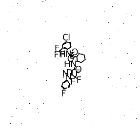 O=C(NC1CCCCC1S(=O)(=O)Nc1ccc(Cl)cc1C(F)(F)F)c1cnn(-c2ccc(F)cc2)c1C(F)(F)F